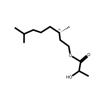 CC(C)CCC[C@H](C)CCOC(=O)C(C)O